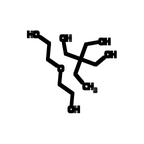 CCC(CO)(CO)CO.OCCOCCO